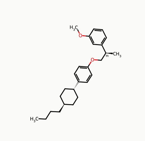 CCCC[C@H]1CC[C@H](c2ccc(OC[C@H](C)c3cccc(OC)c3)cc2)CC1